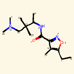 CCc1onc(C(=O)NC(C)C(C)(C)CN(C)C)c1C